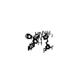 CN1CCN(c2ccc(C(=O)NC(=N)c3cc(CCc4cc(F)cc(F)c4)cnc3N)c(NC3CCOCC3)c2)CC1